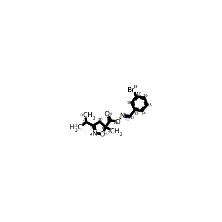 CC(C)C1=NOC(C)(C(=O)O/N=C/c2cccc(Br)c2)C1